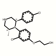 C[C@@H]1CNC[C@@H](c2ccc(Cl)cc2)N1c1ccc(OCCO)cc1Cl